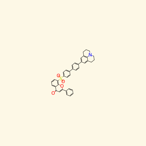 O=c1cc(-c2ccccc2)oc2c(S(=O)(=O)c3ccc(-c4ccc(-c5cc6c7c(c5)CCCN7CCC6)cc4)cc3)cccc12